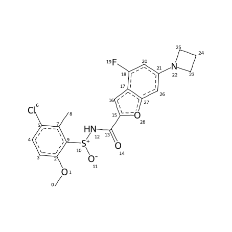 COc1ccc(Cl)c(C)c1[S+]([O-])NC(=O)c1cc2c(F)cc(N3CCC3)cc2o1